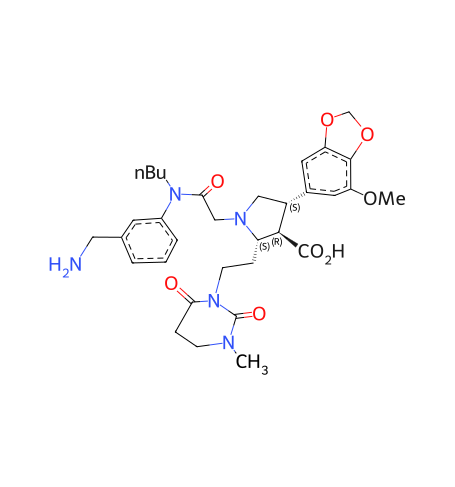 CCCCN(C(=O)CN1C[C@H](c2cc(OC)c3c(c2)OCO3)[C@@H](C(=O)O)[C@@H]1CCN1C(=O)CCN(C)C1=O)c1cccc(CN)c1